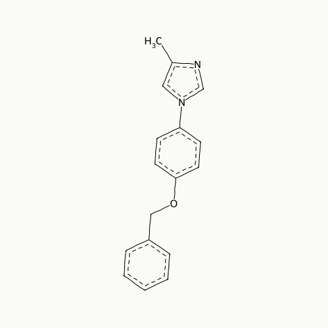 Cc1cn(-c2ccc(OCc3ccccc3)cc2)cn1